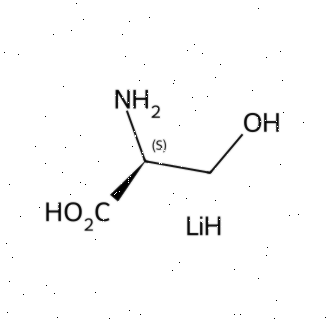 N[C@@H](CO)C(=O)O.[LiH]